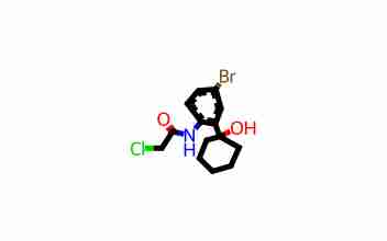 O=C(CCl)Nc1ccc(Br)cc1C1(O)CCCCC1